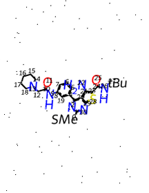 CSc1nc(-c2cccc(NC(=O)CN3CCCCC3)c2)c2c(N)c(C(=O)NC(C)(C)C)sc2n1